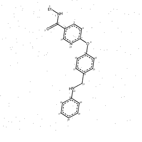 CCNC(=O)c1ccc(Oc2ccc(CNc3ccccc3)cc2)nc1